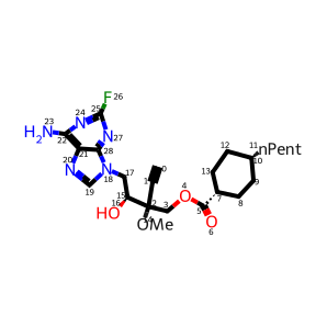 C#CC(COC(=O)[C@H]1CC[C@H](CCCCC)CC1)(OC)[C@@H](O)Cn1cnc2c(N)nc(F)nc21